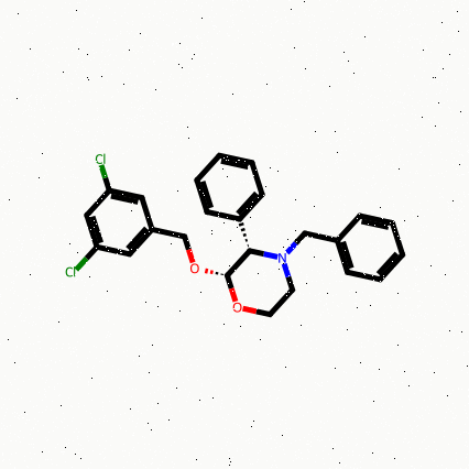 Clc1cc(Cl)cc(CO[C@H]2OCCN(Cc3ccccc3)[C@H]2c2ccccc2)c1